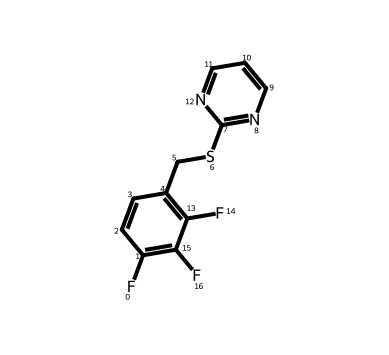 Fc1ccc(CSc2ncccn2)c(F)c1F